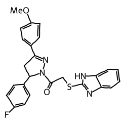 COc1ccc(C2=NN(C(=O)CSc3nc4ccccc4[nH]3)C(c3ccc(F)cc3)C2)cc1